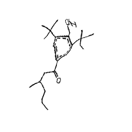 CCCC(C)CC(=O)c1cc(C(C)(C)C)c(O)c(C(C)(C)C)c1